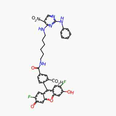 O=C(NCCCCCCNc1nc(Nc2ccccc2)ncc1[N+](=O)[O-])c1ccc(-c2c3cc(F)c(=O)cc-3oc3cc(O)c(F)cc23)c(C(=O)O)c1